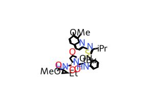 CC[C@@H]1C[C@]1(NC(=O)[C@@H]1C[C@@H](Oc2cc(-c3nc(C(C)C)cs3)nc3c(C)c(OC)ccc23)CN1C(=O)[C@@H](Nc1ccccc1N=O)C(C)(C)C)C(=O)OC